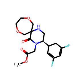 COC(=O)CN1C(=O)C2(COCCOC2)NC[C@H]1C1C=C(F)C=C(F)C1